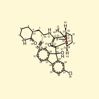 N#C[C@H](C[C@@H]1CCCNC1=O)NC(=O)[C@H]1[C@@H]2CC[C@@H](CC2(F)F)N1C(=O)C1(O)c2ccccc2-c2ccc(Cl)cc21